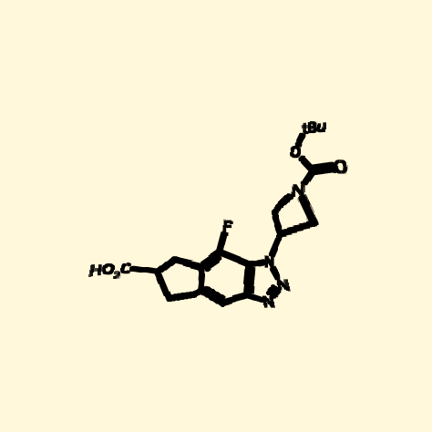 CC(C)(C)OC(=O)N1CC(n2nnc3cc4c(c(F)c32)CC(C(=O)O)C4)C1